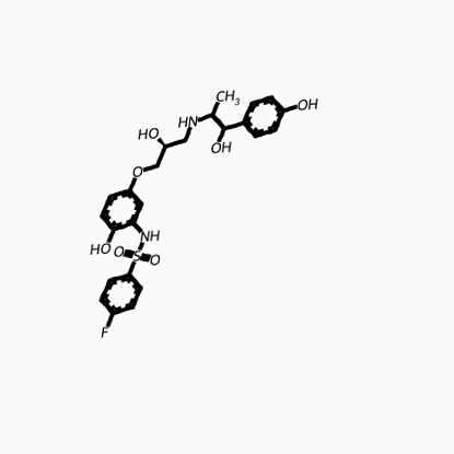 CC(NC[C@H](O)COc1ccc(O)c(NS(=O)(=O)c2ccc(F)cc2)c1)C(O)c1ccc(O)cc1